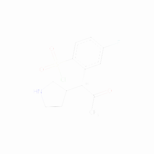 O=C([C@@H](c1cc(F)ccc1S(=O)(=O)Cl)C1CCNC1)C(F)(F)F